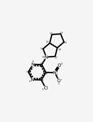 O=[N+]([O-])c1c(Cl)ncnc1N1CC2CCCC2C1